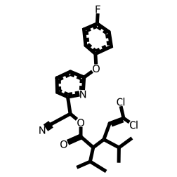 CC(C)C(C=C(Cl)Cl)C(C(=O)OC(C#N)c1cccc(Oc2ccc(F)cc2)n1)C(C)C